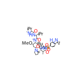 CCC(C)C(C(CC(=O)N1CCC[C@H]1C(OC)C(C)C(=O)NS(=O)(=O)c1ccc(C2(N)CC2)cc1)OC)N(C)C(=O)C(NC(=O)C(C(C)C)N(C)C)C(C)C